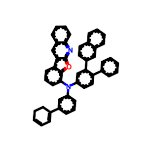 C1=CCCC(c2cccc(N(c3ccc(-c4ccccc4)c(-c4ccc5ccccc5c4)c3)c3cccc4c3oc3nc5ccccc5cc34)c2)=C1